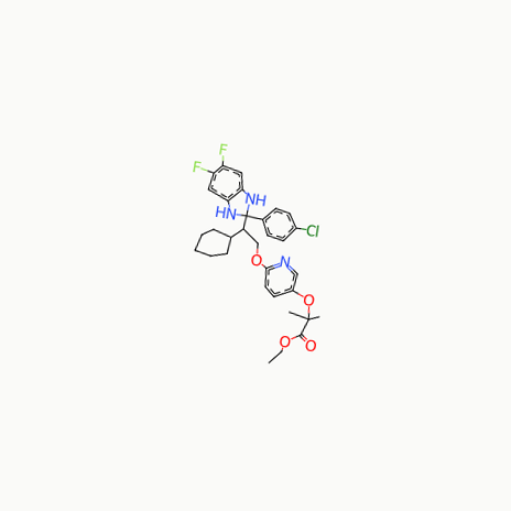 CCOC(=O)C(C)(C)Oc1ccc(OCC(C2CCCCC2)C2(c3ccc(Cl)cc3)Nc3cc(F)c(F)cc3N2)nc1